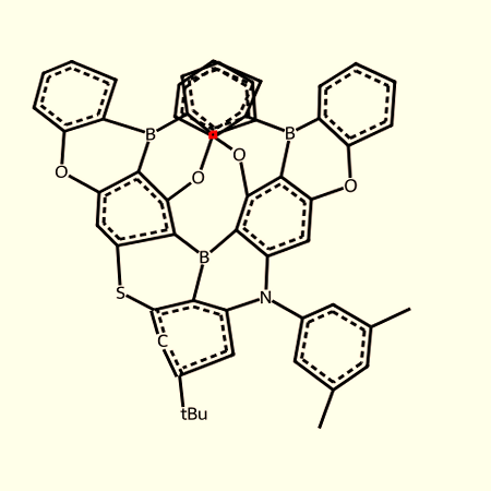 Cc1cc(C)cc(N2c3cc(C(C)(C)C)cc4c3B(c3c(cc5c6c3Oc3ccccc3B6c3ccccc3O5)S4)c3c2cc2c4c3Oc3ccccc3B4c3ccccc3O2)c1